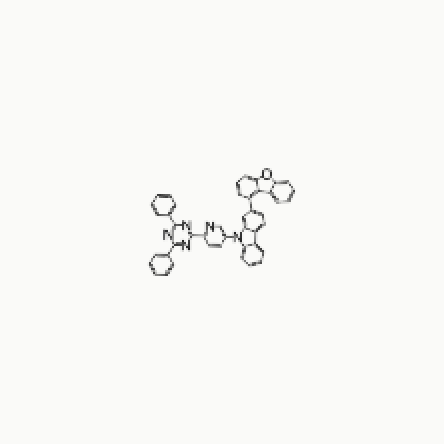 c1ccc(-c2nc(-c3ccccc3)nc(-c3ccc(-n4c5ccccc5c5ccc(-c6cccc7oc8ccccc8c67)cc54)cn3)n2)cc1